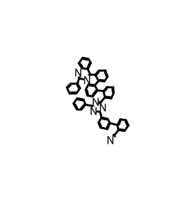 N#Cc1ccccc1-c1cccc(-c2nc(-c3ccccc3)nc(-c3ccccc3-c3ccccc3-c3ccccc3-c3nc(-c4ccccc4)nc4ccccc34)n2)c1